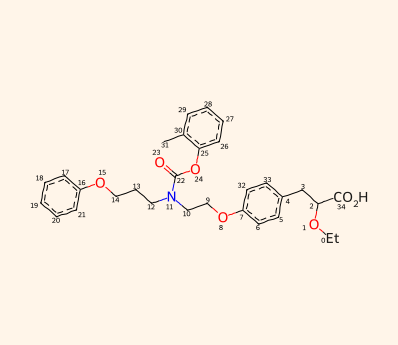 CCOC(Cc1ccc(OCCN(CCCOc2ccccc2)C(=O)Oc2ccccc2C)cc1)C(=O)O